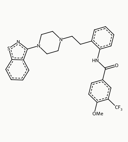 COc1ccc(C(=O)Nc2ccccc2CCN2CCN(c3nsc4ccccc34)CC2)cc1C(F)(F)F